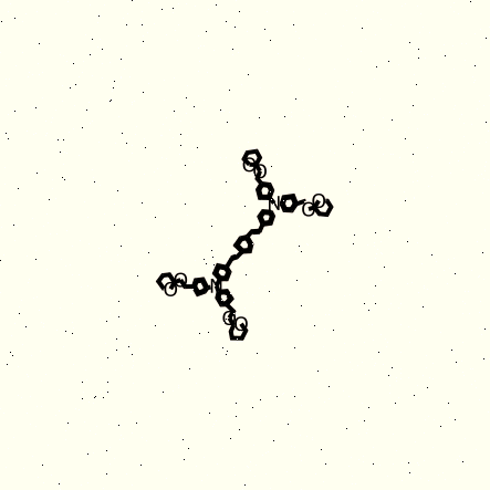 C(=Cc1ccc(N(c2ccc(COC3CCCCO3)cc2)c2ccc(COC3CCCCO3)cc2)cc1)c1ccc(C=Cc2ccc(N(c3ccc(COC4CCCCO4)cc3)c3ccc(COC4CCCCO4)cc3)cc2)cc1